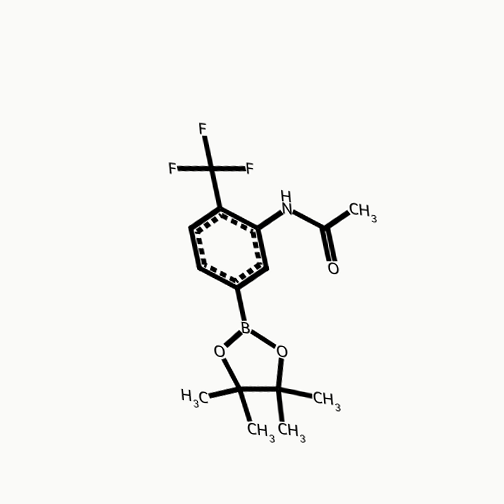 CC(=O)Nc1cc(B2OC(C)(C)C(C)(C)O2)ccc1C(F)(F)F